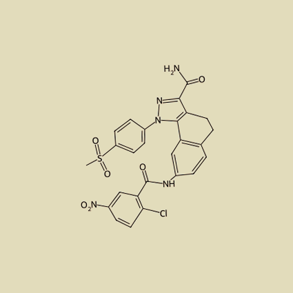 CS(=O)(=O)c1ccc(-n2nc(C(N)=O)c3c2-c2cc(NC(=O)c4cc([N+](=O)[O-])ccc4Cl)ccc2CC3)cc1